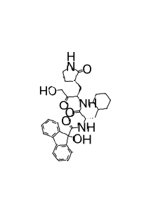 O=C1NCC[C@@H]1C[C@@H](NC(=O)[C@H](CC1CCCCC1)NC(=O)C1(O)c2ccccc2-c2ccccc21)C(=O)CO